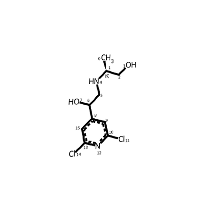 C[C@@H](CO)NCC(O)c1cc(Cl)nc(Cl)c1